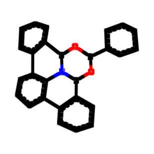 c1ccc(B2OB3c4ccccc4-c4cccc5c4N3B(O2)c2ccccc2-5)cc1